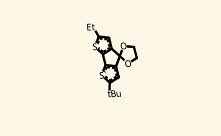 CCc1cc2c(s1)-c1sc(C(C)(C)C)cc1C21OCCO1